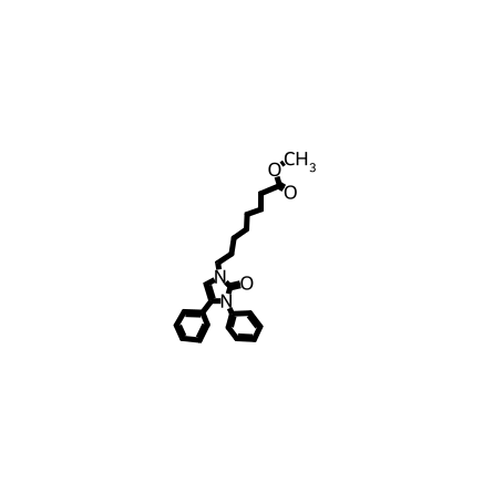 COC(=O)CCCCCCCn1cc(-c2ccccc2)n(-c2ccccc2)c1=O